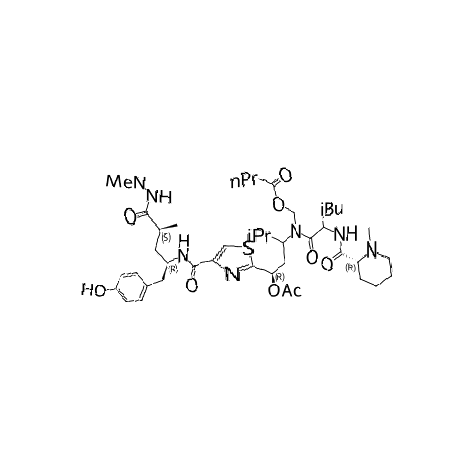 CCCC(=O)OCN(C(=O)C(NC(=O)[C@H]1CCCCN1C)C(C)CC)C(C[C@@H](OC(C)=O)c1nc(C(=O)N[C@@H](Cc2ccc(O)cc2)C[C@H](C)C(=O)NNC)cs1)C(C)C